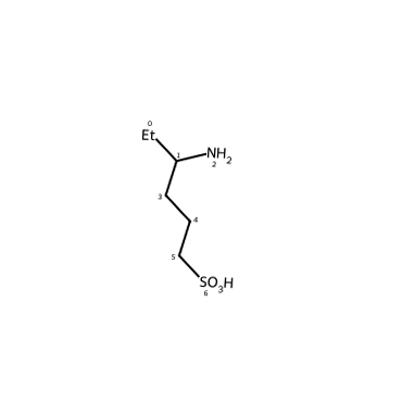 [CH2]CC(N)CCCS(=O)(=O)O